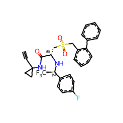 C#CC1(NC(=O)[C@H](CS(=O)(=O)Cc2ccccc2-c2ccccc2)N[C@@H](c2ccc(F)cc2)C(F)(F)F)CC1